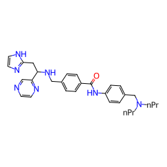 CCCN(CCC)Cc1ccc(NC(=O)c2ccc(CNC(Cc3ncc[nH]3)c3cnccn3)cc2)cc1